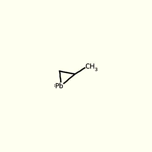 C[CH]1[CH2][Pb]1